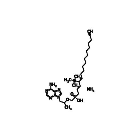 C#CCCCCCCCCCCCC(CCCP(=O)(O)COC(C)Cn1cnc2c(N)ncnc21)[Si](C)(C)C.N